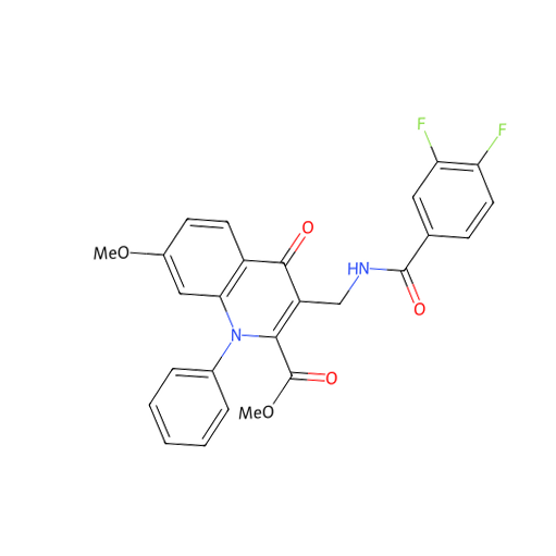 COC(=O)c1c(CNC(=O)c2ccc(F)c(F)c2)c(=O)c2ccc(OC)cc2n1-c1ccccc1